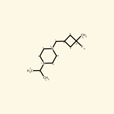 CC(C)N1CCN(CC2CC(C)(F)C2)CC1